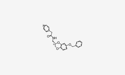 O=C(Cc1ccncc1)NC[C@@H]1COc2ccc(OCc3ccccc3)cc2O1